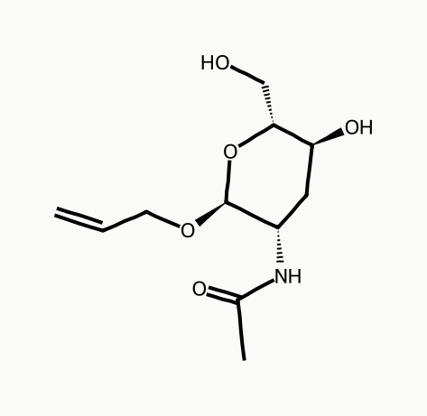 C=CCO[C@H]1O[C@H](CO)[C@@H](O)C[C@@H]1NC(C)=O